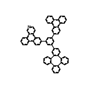 c1ccc2c(c1)-c1ccccc1-c1ccc(-c3cc(-c4ccc5c6ccccc6c6ccccc6c5c4)cc(-c4ccc5c6ccccc6c6cnccc6c5c4)c3)cc1-c1ccccc1-2